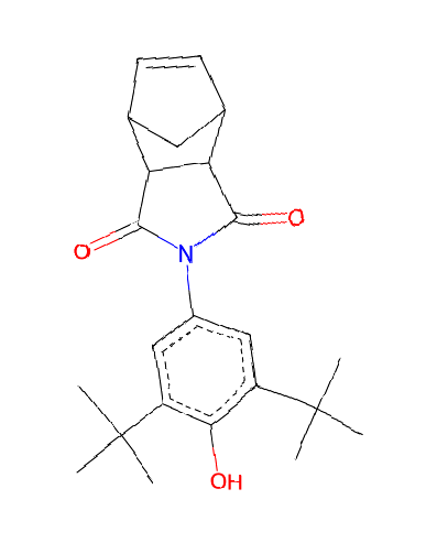 CC(C)(C)c1cc(N2C(=O)C3C4C=CC(C4)C3C2=O)cc(C(C)(C)C)c1O